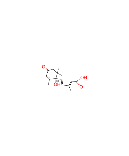 CC(C=C[C@@]1(O)C(C)=CC(=O)CC1(C)C)=CC(=O)O